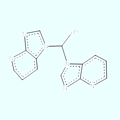 [CH2]CCC(n1cnc2ncccc21)n1cnc2ncccc21